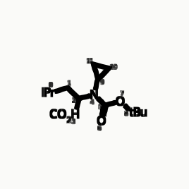 CC(C)CC(C(=O)O)N(C(=O)OC(C)(C)C)C1CC1